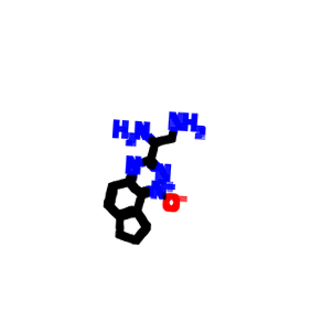 NCC(N)c1nc2ccc3c(c2[n+]([O-])n1)CCC3